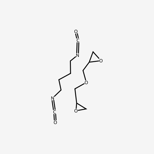 C(OCC1CO1)C1CO1.O=C=NCCCCN=C=O